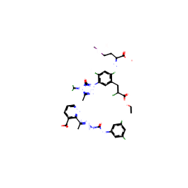 C/C(=N\NC(=O)Nc1cc(F)cc(F)c1)c1ncccc1C(=O)O.CCOC(=O)C(Cl)Cc1cc(-n2nc(C)n(C(F)F)c2=O)c(F)cc1Cl.CP(=O)(O)CCC(N)C(=O)O